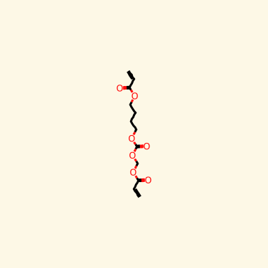 C=CC(=O)OCCCCOC(=O)OCOC(=O)C=C